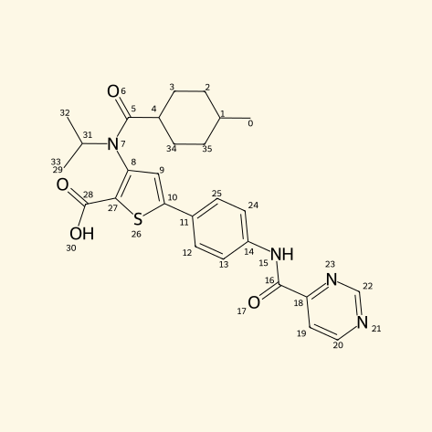 CC1CCC(C(=O)N(c2cc(-c3ccc(NC(=O)c4ccncn4)cc3)sc2C(=O)O)C(C)C)CC1